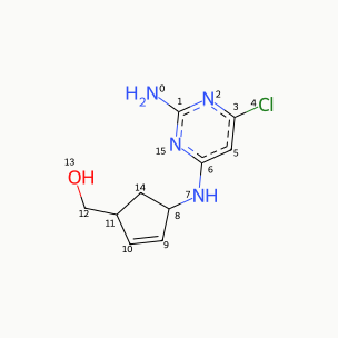 Nc1nc(Cl)cc(NC2C=CC(CO)C2)n1